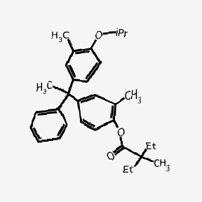 CCC(C)(CC)C(=O)Oc1ccc(C(C)(c2ccccc2)c2ccc(OC(C)C)c(C)c2)cc1C